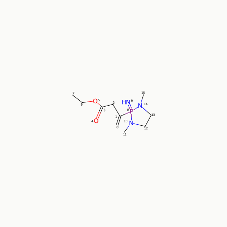 C=C(CC(=O)OCC)P1(=N)N(C)CCN1C